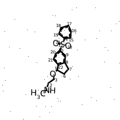 CNCCOC1CCc2cc(S(=O)(=O)c3ccccc3)ccc21